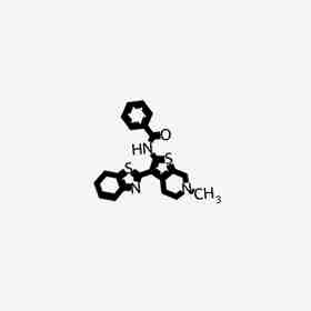 CN1CCc2c(sc(NC(=O)c3ccccc3)c2-c2nc3c(s2)CCC=C3)C1